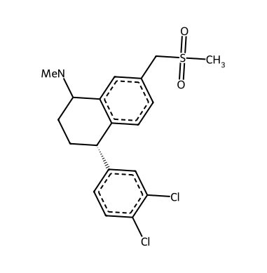 CNC1CC[C@@H](c2ccc(Cl)c(Cl)c2)c2ccc(CS(C)(=O)=O)cc21